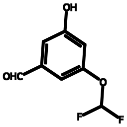 O=Cc1cc(O)cc(OC(F)F)c1